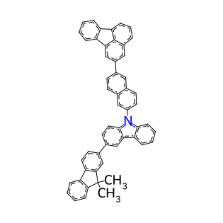 CC1(C)c2ccccc2-c2ccc(-c3ccc4c(c3)c3ccccc3n4-c3ccc4cc(-c5cc6c7c(cccc7c5)-c5ccccc5-6)ccc4c3)cc21